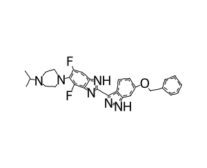 CC(C)N1CCN(c2c(F)cc3[nH]c(-c4n[nH]c5cc(OCc6ccccc6)ccc45)nc3c2F)CC1